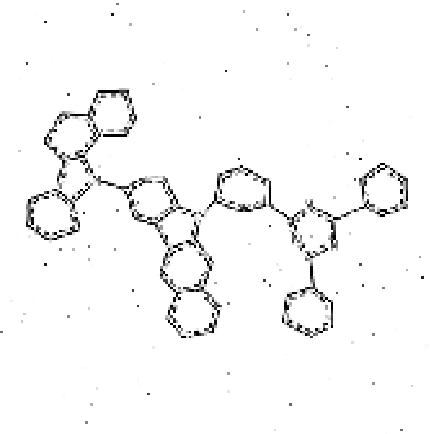 c1ccc(-c2nc(-c3ccccc3)nc(-c3cccc(-n4c5ccc(-n6c7ccccc7c7ccc8ccccc8c76)cc5c5cc6ccccc6cc54)c3)n2)cc1